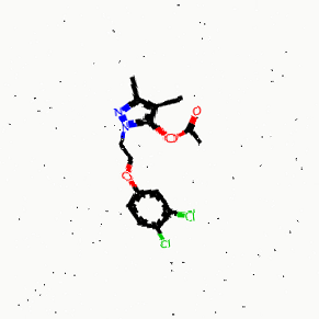 CC(=O)Oc1c(C)c(C)nn1CCOc1ccc(Cl)c(Cl)c1